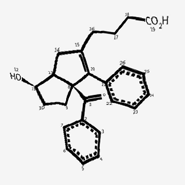 C=C(c1ccccc1)[C@@]12CC[C@@H](O)C1CC(CCCC(=O)O)=C2c1ccccc1